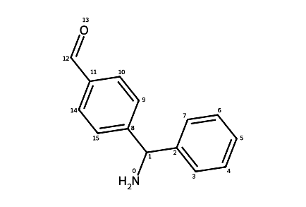 NC(c1ccccc1)c1ccc(C=O)cc1